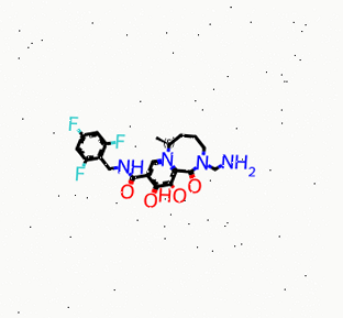 C[C@H]1CCCN(CN)C(=O)c2c(O)c(=O)c(C(=O)NCc3c(F)cc(F)cc3F)cn21